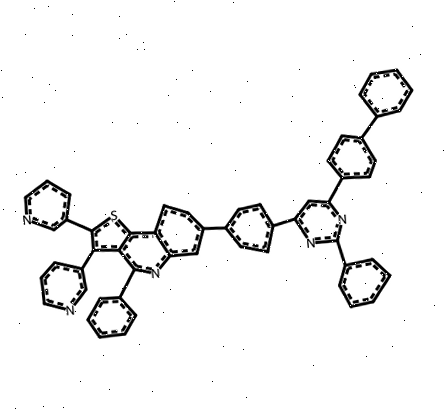 c1ccc(-c2ccc(-c3cc(-c4ccc(-c5ccc6c(c5)nc(-c5ccccc5)c5c(-c7cccnc7)c(-c7cccnc7)sc56)cc4)nc(-c4ccccc4)n3)cc2)cc1